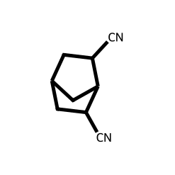 N#CC1CC2CC(C#N)C1C2